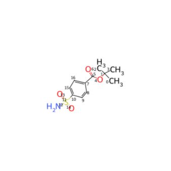 CC(C)(C)OC(=O)c1ccc(S(N)(=O)=O)cc1